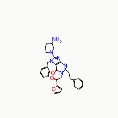 NC1CCCN(c2nc3nc(CCc4ccccc4)n(CC(=O)c4ccco4)c(=O)c3n2Cc2ccccc2)C1